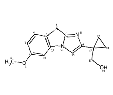 COc1ccc2sc3nc(C4(CO)CC4)cn3c2c1